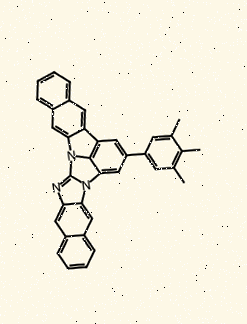 Cc1cc(-c2cc3c4cc5ccccc5cc4n4c3c(c2)n2c3cc5ccccc5cc3nc24)cc(C)c1C